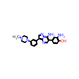 CN1CCN(c2cccc(-c3cnn4c(N)c(-c5ccc(O)c(N)c5)cnc34)c2)CC1